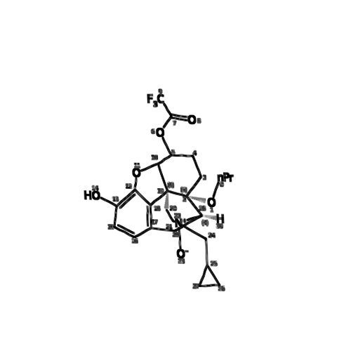 CCCO[C@@]12CCC(OC(=O)C(F)(F)F)C3Oc4c(O)ccc5c4[C@@]31CC[N+]([O-])(CC1CC1)[C@@H]2C5